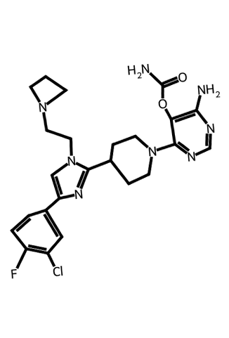 NC(=O)Oc1c(N)ncnc1N1CCC(c2nc(-c3ccc(F)c(Cl)c3)cn2CCN2CCC2)CC1